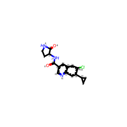 O=C(NC1CCNC1=O)c1cnc2cc(C3CC3)c(Cl)cc2c1